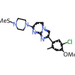 COc1cc(C)c(-c2cn3ccc(N4CCN(SC)CC4)nc3n2)cc1Cl